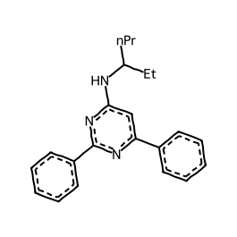 CCCC(CC)Nc1cc(-c2ccccc2)nc(-c2ccccc2)n1